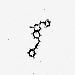 CN1CN(Cc2nccs2)CC2=C1CCN(CC#Cc1ccccc1)C2